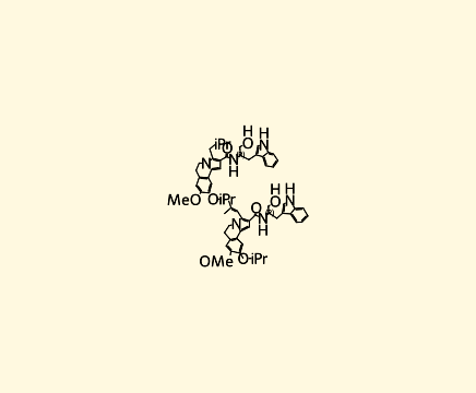 COc1cc2c(cc1OC(C)C)-c1cc(C(=O)N[C@@H](CO)Cc3c[nH]c4ccccc34)c(C=C(C)C)n1CC2.COc1cc2c(cc1OC(C)C)-c1cc(C(=O)N[C@@H](CO)Cc3c[nH]c4ccccc34)c(CC(C)C)n1CC2